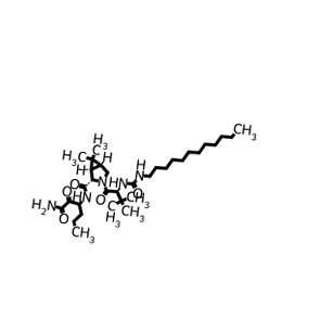 CCCCCCCCCCCCNC(=O)N[C@H](C(=O)N1C[C@H]2[C@@H]([C@H]1C(=O)NC(CCC)C(=O)C(N)=O)C2(C)C)C(C)(C)C